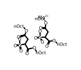 CCCCCCCCOC(=O)CC(C(=O)OCCCCCCCC)S(=O)(=O)[O-].CCCCCCCCOC(=O)CC(C(=O)OCCCCCCCC)S(=O)(=O)[O-].[Mg+2]